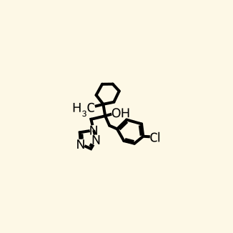 CC1(C(O)(Cc2ccc(Cl)cc2)Cn2cncn2)CCCCC1